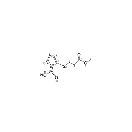 COC(=O)CCSc1scnc1C(=O)O